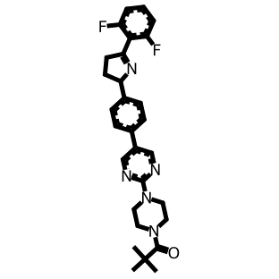 CC(C)(C)C(=O)N1CCN(c2ncc(-c3ccc(C4CCC(c5c(F)cccc5F)=N4)cc3)cn2)CC1